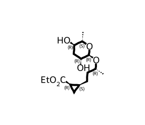 CCOC(=O)[C@@H]1C[C@@H]1CC[C@@H](C)O[C@@H]1O[C@@H](C)[C@H](O)C[C@H]1O